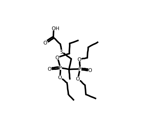 CCCOP(=O)(OCCC)C(C)(CSCC(=O)O)P(=O)(OCCC)OCCC